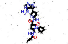 CC#CC(=O)NCc1ccc(C(=O)Nc2ccc(-c3cn(C)c4ncnc(N)c34)cn2)c(=O)n1-c1ccccc1